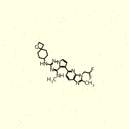 CNc1nc(NC2CCC3(CCO3)CC2)nn2ccc(-c3ccc4nc(C)n(CC(F)F)c4n3)c12